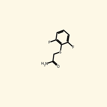 NC(=O)CSc1c(F)cccc1F